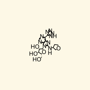 OC[C@H]1O[C@@H](n2c(NC3CCOC3)nc3c(-c4nnn[nH]4)ncnc32)[C@@H](O)[C@H]1O